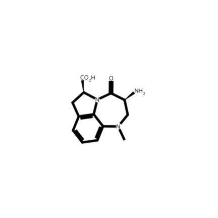 CN1C[C@H](N)C(=O)N2c3c(cccc31)C[C@H]2C(=O)O